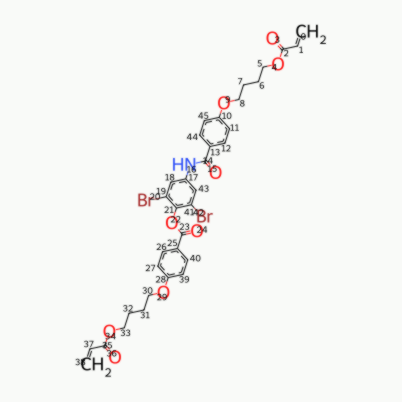 C=CC(=O)OCCCCOc1ccc(C(=O)Nc2cc(Br)c(OC(=O)c3ccc(OCCCCOC(=O)C=C)cc3)c(Br)c2)cc1